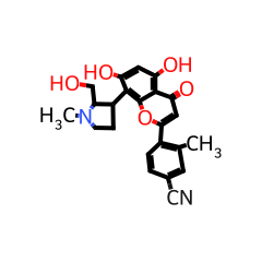 Cc1cc(C#N)ccc1-c1cc(=O)c2c(O)cc(O)c(C3CCN(C)C3CO)c2o1